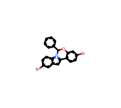 Brc1ccc2c(c1)OC(c1ccccc1)n1c-2cc2cc(Br)ccc21